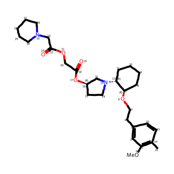 COc1cc(CCO[C@@H]2CCCC[C@H]2N2CC[C@@H](OC(=O)COC(=O)CN3CCCCC3)C2)ccc1C